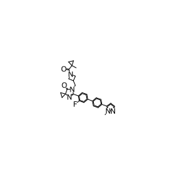 Cn1nccc1-c1ccc(-c2ccc(C3=NC4(CC4)C(=O)N3CC3CN(C(=O)C4(C)CC4)C3)c(F)c2)cc1